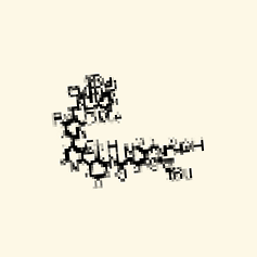 COc1nc(-c2ccnc(-c3cccc(NC(=O)c4ccc(CN(CCO)C(=O)OC(C)(C)C)cn4)c3C)c2Cl)cc(F)c1CN(C[C@@H]1CCC(=O)N1)C(=O)OC(C)(C)C